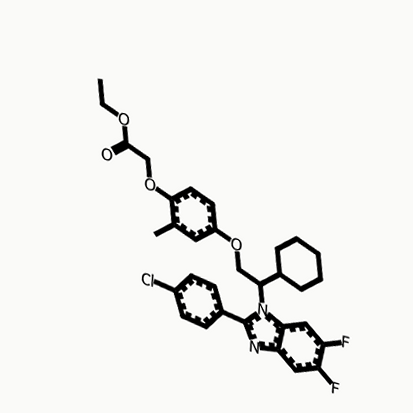 CCOC(=O)COc1ccc(OCC(C2CCCCC2)n2c(-c3ccc(Cl)cc3)nc3cc(F)c(F)cc32)cc1C